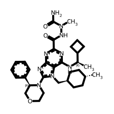 C[C@@H](Nc1nc(C(=O)NN(C)C(N)=O)nc2nc(N3CCOC[C@H]3c3ccccc3)n(C[C@H]3CC[C@H](C)CC3)c12)C1CCC1